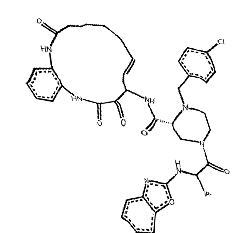 CC(C)C(Nc1nc2ccccc2o1)C(=O)N1CCN(Cc2ccc(Cl)cc2)[C@@H](C(=O)NC2/C=C/CCCCC(=O)Nc3ccccc3NC(=O)C2=O)C1